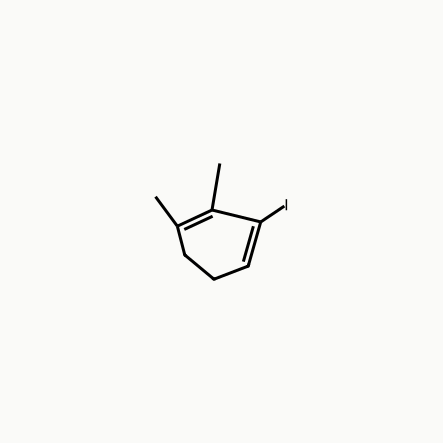 CC1=C(C)C(I)=CCC1